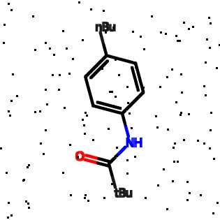 CCCCc1ccc(NC(=O)C(C)(C)C)cc1